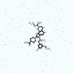 COc1cc(F)cc(C[C@H](C)n2c(N3CCC(C(=O)O)CC3)nc3c4c(ccc32)CCN(C(O)OC)C4)c1